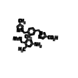 CNCc1c(C)cc(N)cc1C.Cc1cnn(Cc2ccc(Cn3cc(C(=O)O)cn3)cc2)c1